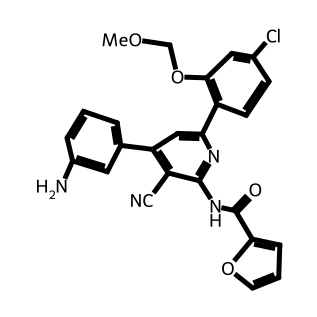 COCOc1cc(Cl)ccc1-c1cc(-c2cccc(N)c2)c(C#N)c(NC(=O)c2ccco2)n1